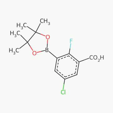 CC1(C)OB(c2cc(Cl)cc(C(=O)O)c2F)OC1(C)C